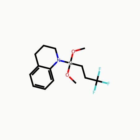 CO[Si](CCC(F)(F)F)(OC)N1CCCc2ccccc21